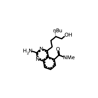 CCCC[C@H](CO)CCc1nc(N)nc2cccc(C(=O)NC)c12